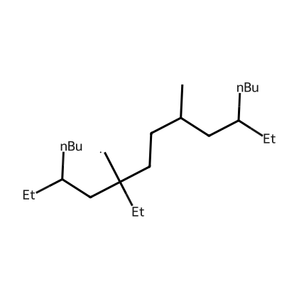 [CH2]C(CC)(CCC(C)CC(CC)CCCC)CC(CC)CCCC